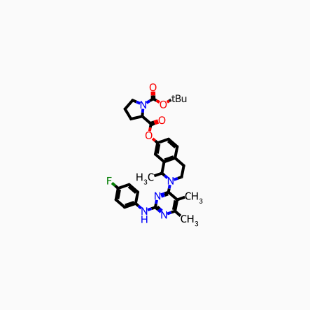 Cc1nc(Nc2ccc(F)cc2)nc(N2CCc3ccc(OC(=O)C4CCCN4C(=O)OC(C)(C)C)cc3C2C)c1C